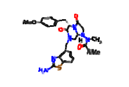 CNC(=O)N(C)N1CC(=O)N2[C@@H](Cc3ccc(OC)cc3)C(=O)N(Cc3cccc4sc(N)nc34)C[C@@H]21